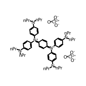 CCCN(CCC)c1ccc([N+](=C2C=CC(=[N+](c3ccc(N(CCC)CCC)cc3)c3ccc(N(CCC)CCC)cc3)C=C2)c2ccc(N(CCC)CCC)cc2)cc1.[O-][Cl+2]([O-])[O-].[O-][Cl+2]([O-])[O-]